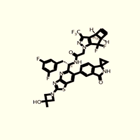 CC1(O)CN(c2nc3nc([C@H](Cc4cc(F)cc(F)c4)NC(=O)Cn4nc(C(F)(F)F)c5c4C(F)(F)[C@@H]4C#C[C@H]54)c(-c4ccc5c(c4)C(=O)NC54CC4)cc3s2)C1